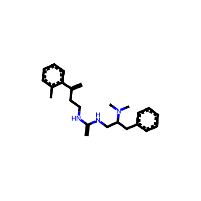 C=C(NCCC(=C)c1ccccc1C)NCC(Cc1ccccc1)N(C)C